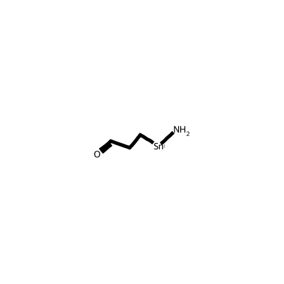 [NH2][Sn][CH2]CC=O